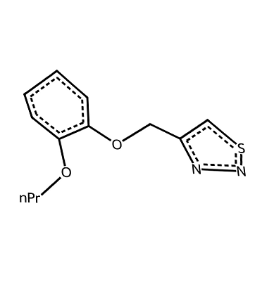 CCCOc1ccccc1OCc1csnn1